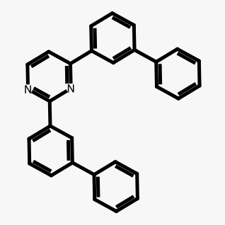 c1ccc(-c2cccc(-c3ccnc(-c4cccc(-c5ccccc5)c4)n3)c2)cc1